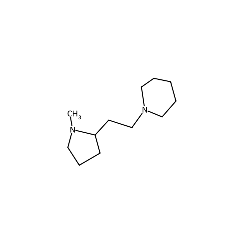 CN1CCCC1CCN1CCCCC1